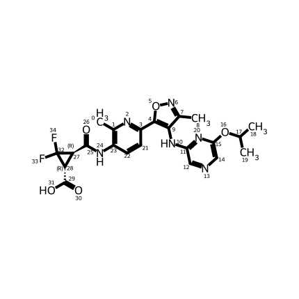 Cc1nc(-c2onc(C)c2Nc2cncc(OC(C)C)n2)ccc1NC(=O)[C@H]1[C@H](C(=O)O)C1(F)F